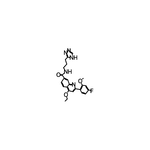 CCOc1cc(-c2ccc(F)cc2OC)nc2cc(C(=O)NCCCc3nnc[nH]3)ccc12